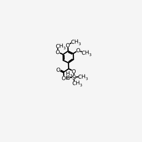 COc1cc(C(O[Si](C)(C)C)C(=O)O)cc(OC)c1OC